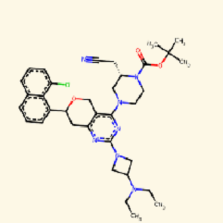 CCN(CC)C1CN(c2nc3c(c(N4CCN(C(=O)OC(C)(C)C)[C@@H](CC#N)C4)n2)COC(c2cccc4cccc(Cl)c24)C3)C1